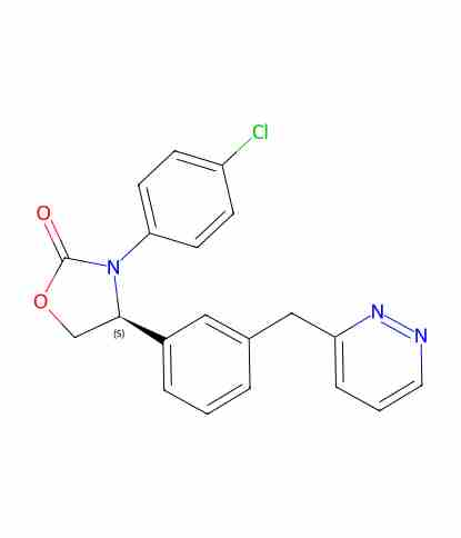 O=C1OC[C@H](c2cccc(Cc3cccnn3)c2)N1c1ccc(Cl)cc1